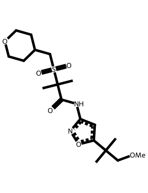 COCC(C)(C)c1cc(NC(=O)C(C)(C)S(=O)(=O)CC2CCOCC2)no1